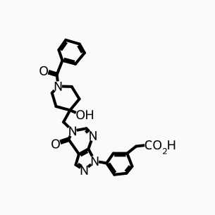 O=C(O)Cc1cccc(-n2ncc3c(=O)n(CC4(O)CCN(C(=O)c5ccccc5)CC4)cnc32)c1